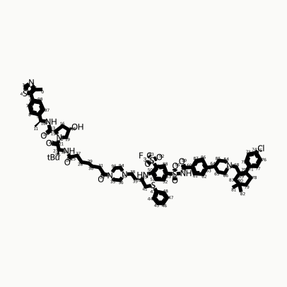 Cc1ncsc1-c1ccc([C@H](C)NC(=O)[C@@H]2C[C@@H](O)CN2C(=O)[C@@H](NC(=O)CCCCCC(=O)N2CCN(CC[C@H](CSc3ccccc3)Nc3ccc(S(=O)(=O)NC(=O)c4ccc(C5CCN(CC6=C(c7ccc(Cl)cc7)CCC(C)(C)C6)CC5)cc4)cc3S(=O)(=O)C(F)(F)F)CC2)C(C)(C)C)cc1